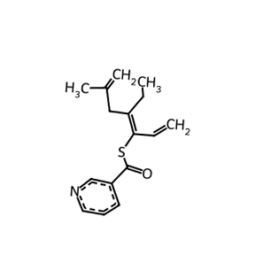 C=C/C(SC(=O)c1cccnc1)=C(\CC)CC(=C)C